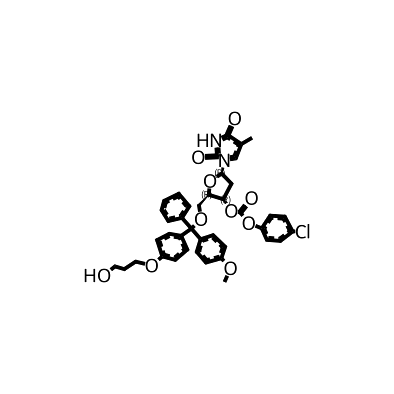 COc1ccc(C(OC[C@H]2O[C@@H](n3cc(C)c(=O)[nH]c3=O)C[C@H]2OC(=O)Oc2ccc(Cl)cc2)(c2ccccc2)c2ccc(OCCCO)cc2)cc1